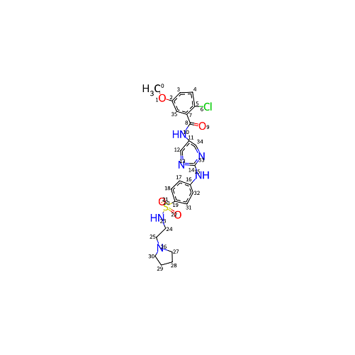 COc1ccc(Cl)c(C(=O)Nc2cnc(Nc3ccc(S(=O)(=O)NCCN4CCCC4)cc3)nc2)c1